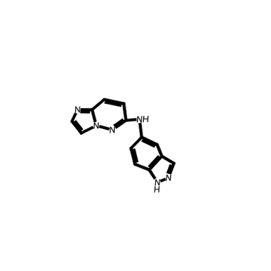 c1cn2nc(Nc3ccc4[nH]ncc4c3)ccc2n1